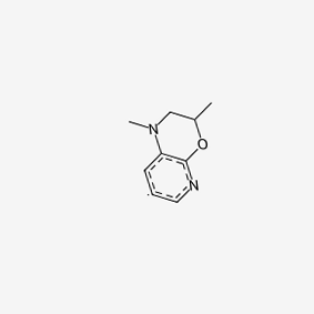 CC1CN(C)c2c[c]cnc2O1